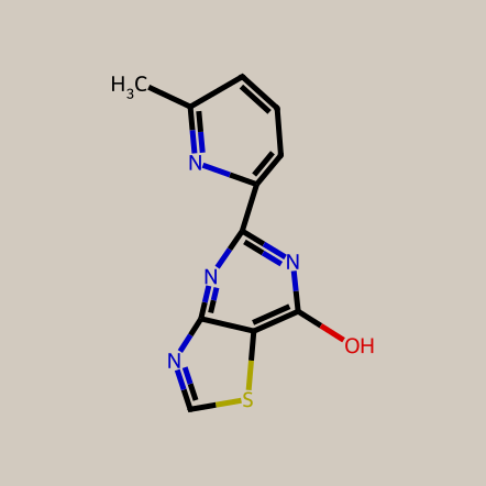 Cc1cccc(-c2nc(O)c3scnc3n2)n1